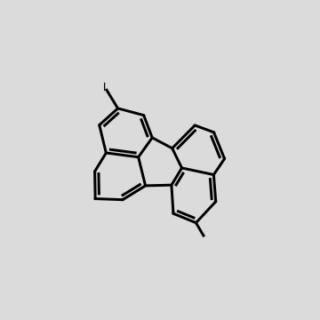 Cc1cc2cccc3c4cc(I)cc5cccc(c(c1)c23)c54